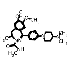 CNC(=O)N1N=C(c2ccc(N3CCC(N(C)C)CC3)cc2)c2cc(OC)c(OC)cc2CC1C